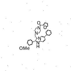 COc1cccc(C2NC3C=CC(c4ccccc4)=CN3C2CN2CCN(C(=O)c3ccco3)CC2)c1